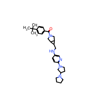 CC(C)(C)c1ccc(C(=O)N2CC3C(CNc4ccc(N5CCC(N6CCCC6)C5)nc4)C3C2)cc1